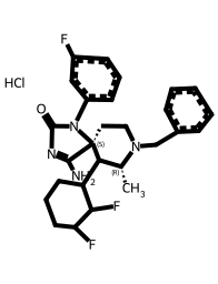 C[C@@H]1C(C2CCCC(F)C2F)[C@@]2(CCN1Cc1ccccc1)C(N)=NC(=O)N2c1cccc(F)c1.Cl